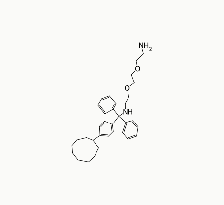 NCCOCCOCCNC(c1ccccc1)(c1ccccc1)c1ccc(C2CCCCCCCC2)cc1